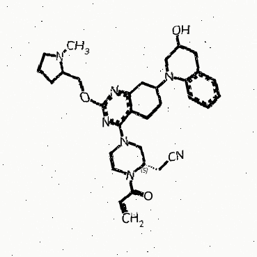 C=CC(=O)N1CCN(c2nc(OCC3CCCN3C)nc3c2CCC(N2CC(O)Cc4ccccc42)C3)C[C@@H]1CC#N